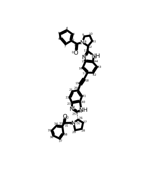 O=C(c1ccccc1)N1CCCC1c1nc2cc(C#Cc3ccc4nc([C@@H]5CCCN5C(=O)c5ccccc5)[nH]c4c3)ccc2[nH]1